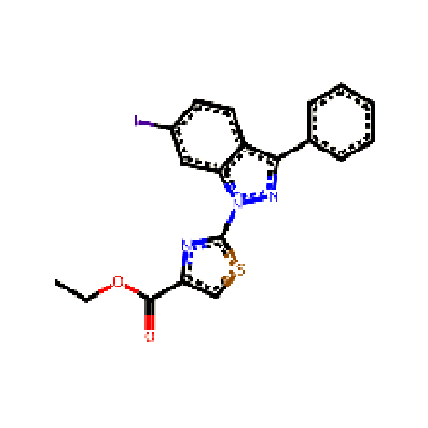 CCOC(=O)c1csc(-n2nc(-c3ccccc3)c3ccc(I)cc32)n1